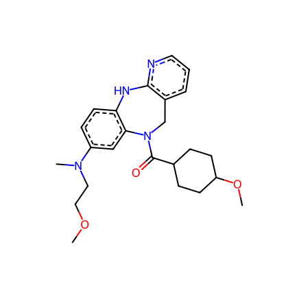 COCCN(C)c1ccc2c(c1)N(C(=O)C1CCC(OC)CC1)Cc1cccnc1N2